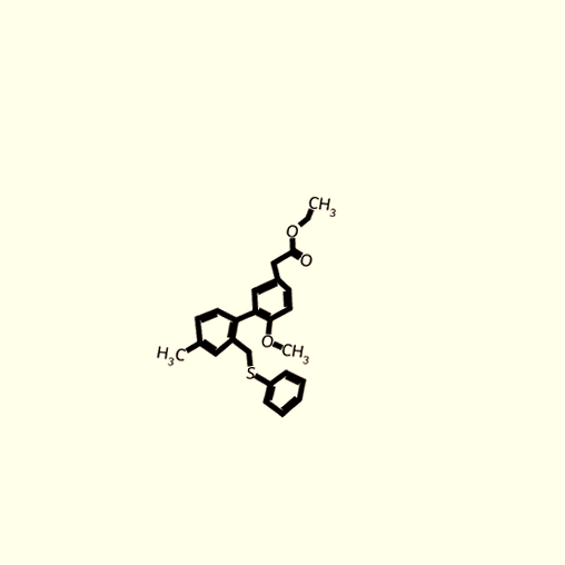 CCOC(=O)Cc1ccc(OC)c(-c2ccc(C)cc2CSc2ccccc2)c1